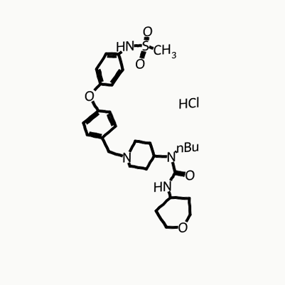 CCCCN(C(=O)NC1CCOCC1)C1CCN(Cc2ccc(Oc3ccc(NS(C)(=O)=O)cc3)cc2)CC1.Cl